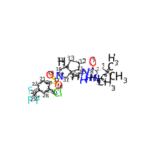 CN[C@@H](CC(C)(C)C)C(=O)N[C@H]1CC[C@@H]2CN(S(=O)(=O)c3ccc(C(F)(F)F)cc3Cl)C[C@@H]21